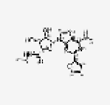 CCNC(=O)[C@H]1O[C@@H](n2cnc3c(NC)nc(-c4ccco4)nc32)[C@H](O)[C@@H]1O